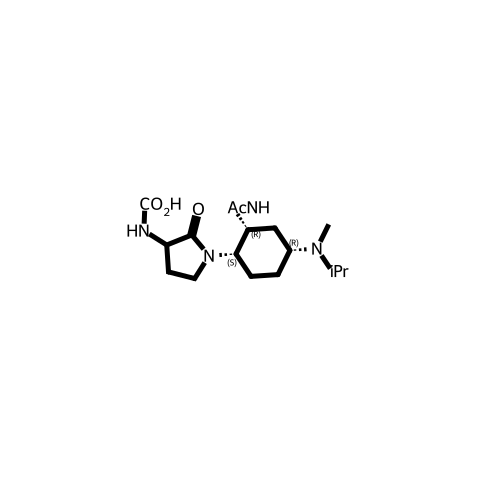 CC(=O)N[C@@H]1C[C@H](N(C)C(C)C)CC[C@@H]1N1CCC(NC(=O)O)C1=O